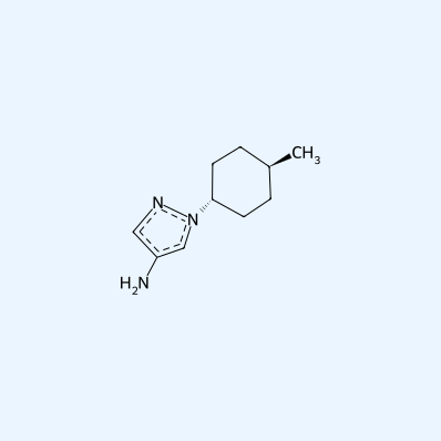 C[C@H]1CC[C@H](n2cc(N)cn2)CC1